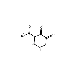 O=C1CNSC(C(=O)O)C1=O